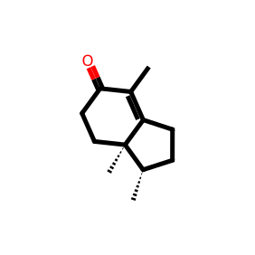 CC1=C2CC[C@H](C)[C@@]2(C)CCC1=O